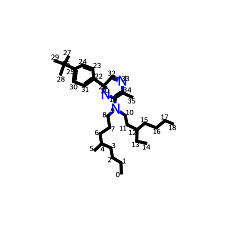 CCCCC(C)CCCN(CCC(CC)CCCC)c1nc(-c2ccc(C(C)(C)C)cc2)cnc1C